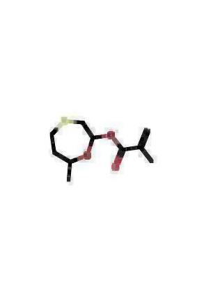 C=C(C)C(=O)OC1CSCCC(C)O1